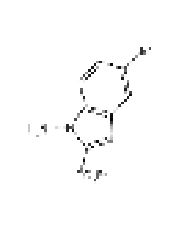 CCOC(=O)c1cc2cc(Br)ccc2n1N